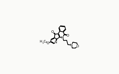 COc1cnc2c(c1)C(=O)c1c-2n(CCCN2CCOCC2)c(=O)c2ccccc12